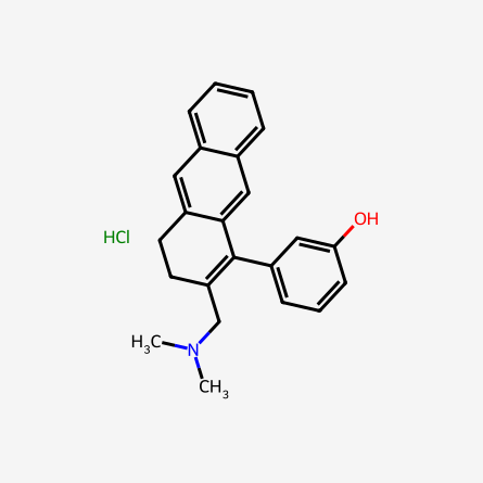 CN(C)CC1=C(c2cccc(O)c2)c2cc3ccccc3cc2CC1.Cl